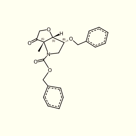 C[C@@]12C(=O)CO[C@@H]1[C@H](OCc1ccccc1)CN2C(=O)OCc1ccccc1